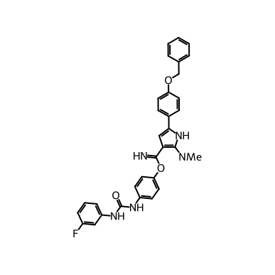 CNc1[nH]c(-c2ccc(OCc3ccccc3)cc2)cc1C(=N)Oc1ccc(NC(=O)Nc2cccc(F)c2)cc1